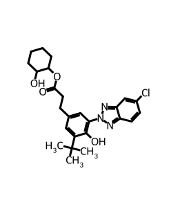 CC(C)(C)c1cc(CCC(=O)OC2CCCCC2O)cc(-n2nc3ccc(Cl)cc3n2)c1O